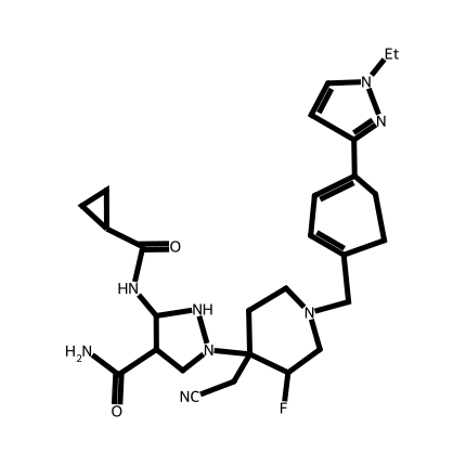 CCn1ccc(C2=CC=C(CN3CCC(CC#N)(N4CC(C(N)=O)C(NC(=O)C5CC5)N4)C(F)C3)CC2)n1